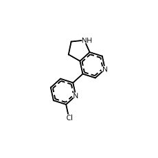 Clc1cccc(-c2cncc3c2CCN3)n1